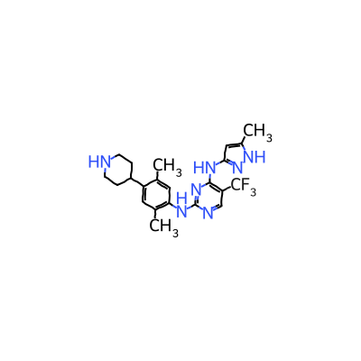 Cc1cc(Nc2nc(Nc3cc(C)c(C4CCNCC4)cc3C)ncc2C(F)(F)F)n[nH]1